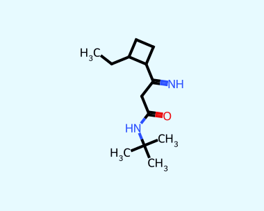 CCC1CCC1C(=N)CC(=O)NC(C)(C)C